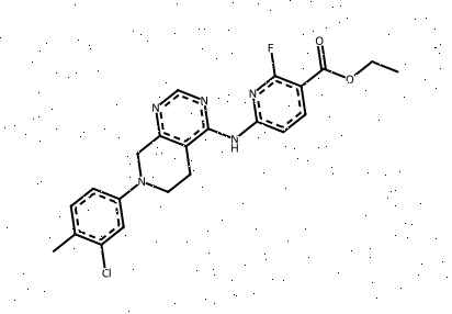 CCOC(=O)c1ccc(Nc2ncnc3c2CCN(c2ccc(C)c(Cl)c2)C3)nc1F